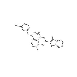 Cc1c(-c2cc(C(=O)O)c3c(OCc4cccc(C#N)c4)ccc(C)c3n2)sc2ccccc12